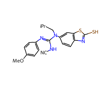 COc1ccc(/N=C(\NC#N)N(CC(C)C)c2ccc3nc(S)sc3c2)cc1